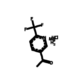 CC(=O)c1ccc(C(F)(F)F)nc1.Cl.[MgH2]